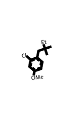 CCC(C)(C)Cc1ccc(OC)cc1Cl